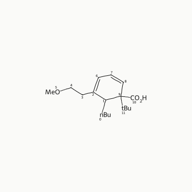 CCCCC1C(CCOC)=CC=CC1(C(=O)O)C(C)(C)C